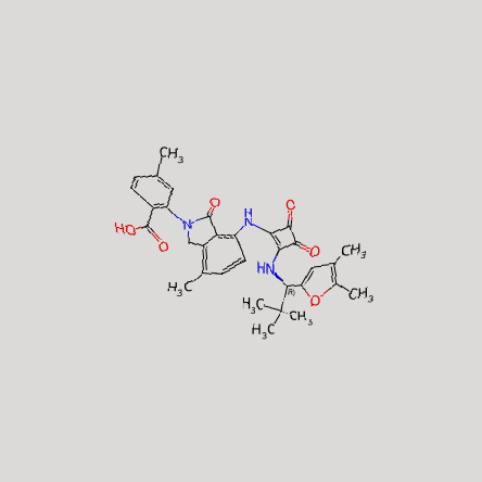 Cc1ccc(C(=O)O)c(N2Cc3c(C)ccc(Nc4c(N[C@@H](c5cc(C)c(C)o5)C(C)(C)C)c(=O)c4=O)c3C2=O)c1